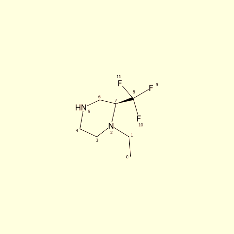 CCN1CCNC[C@H]1C(F)(F)F